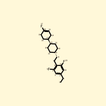 CCc1cc(F)c(CC[C@H]2CC[C@H](C3CC=C(F)CC3)CC2)c(F)c1